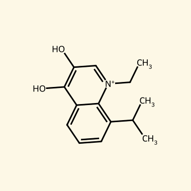 CC[n+]1cc(O)c(O)c2cccc(C(C)C)c21